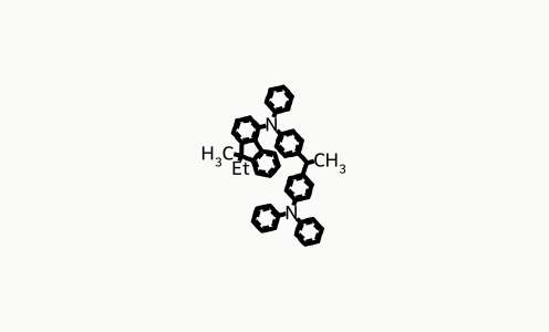 CCC1(C)c2ccccc2-c2c(N(c3ccccc3)c3ccc(C(C)c4ccc(N(c5ccccc5)c5ccccc5)cc4)cc3)cccc21